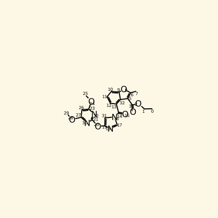 CCOC(=O)c1c(C)oc2cccc(C(=O)n3cnc(Oc4nc(OC)cc(OC)n4)c3)c12